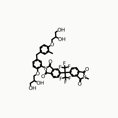 Cc1cc(Cc2ccc(OCC(O)CO)c(N3C(=O)c4ccc(C(c5ccc6c(c5)C(=O)N(C)C6=O)(C(F)(F)F)C(F)(F)F)cc4C3=O)c2)ccc1OCC(O)CO